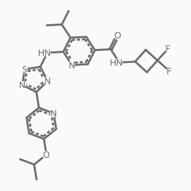 CC(C)Oc1ccc(-c2nsc(Nc3ncc(C(=O)NC4CC(F)(F)C4)cc3C(C)C)n2)nc1